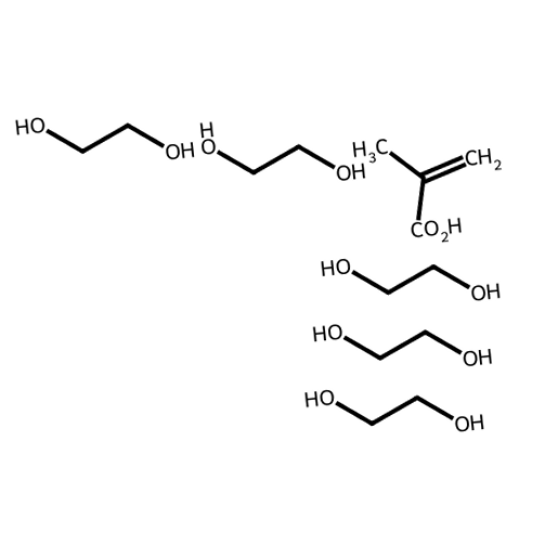 C=C(C)C(=O)O.OCCO.OCCO.OCCO.OCCO.OCCO